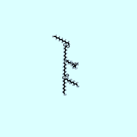 CCCCCCCCC(CC)OC(=O)CCCCCCCN(CCCCCCCC(=O)OC(CCCCCCCC)CCCCCCCC)CCCSNC(C)(C)C